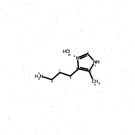 Cc1[nH]cnc1CCCN.Cl